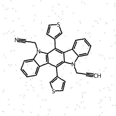 C#CCn1c2ccccc2c2c(-c3ccsc3)c3c(c(-c4ccsc4)c21)c1ccccc1n3CC#N